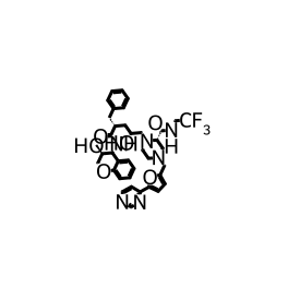 O=C(N[C@H]1c2ccccc2OC[C@H]1O)[C@H](Cc1ccccc1)C[C@H](O)CN1CCN(Cc2ccc(-c3ccncn3)o2)C[C@H]1C(=O)NCC(F)(F)F